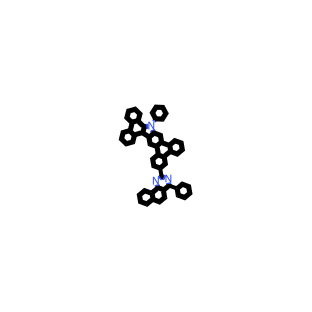 c1ccc(-c2nc(-c3ccc4c(c3)c3ccccc3c3cc5c(cc43)c3c4ccccc4c4ccccc4c3n5-c3ccccc3)nc3c2ccc2ccccc23)cc1